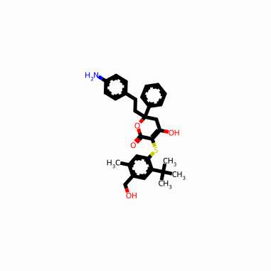 Cc1cc(SC2=C(O)CC(CCc3ccc(N)cc3)(c3ccccc3)OC2=O)c(C(C)(C)C)cc1CO